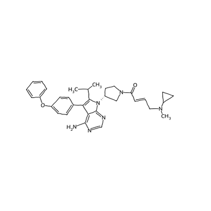 CC(C)c1c(-c2ccc(Oc3ccccc3)cc2)c2c(N)ncnc2n1[C@@H]1CCN(C(=O)/C=C/CN(C)C2CC2)C1